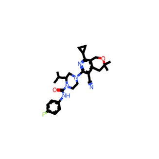 CC(C)C1CN(c2nc(C3CC3)c3c(c2C#N)CC(C)(C)OC3)CCN1C(=O)Nc1ccc(F)cc1